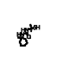 CC(C)(S)NC(=O)NC1(C)CCCCC1